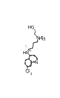 CCN(CCO)CCC[C@@H](C)Nc1ccnc2cc(C(F)(F)F)ccc12